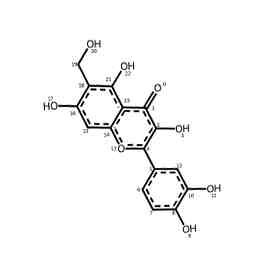 O=c1c(O)c(-c2ccc(O)c(O)c2)oc2cc(O)c(CO)c(O)c12